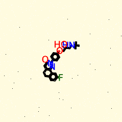 CC(C)(C)NCC(O)COc1ccc(-n2nc3c(cc2=O)CCc2ccc(F)cc2-3)cc1